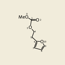 COC(=O)OC[CH]c1ccco1